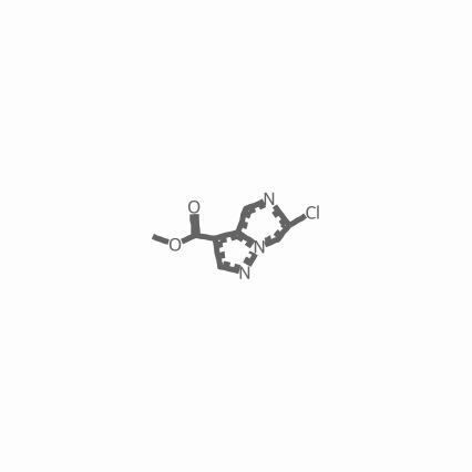 COC(=O)c1cnn2cc(Cl)ncc12